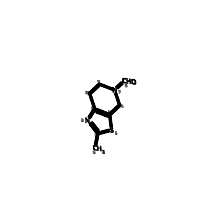 Cc1nc2c(s1)CN(C=O)CC2